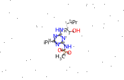 CC(C)C[C@H](CO)Nc1nc(NS(C)(=O)=O)nc(C(C)C)n1